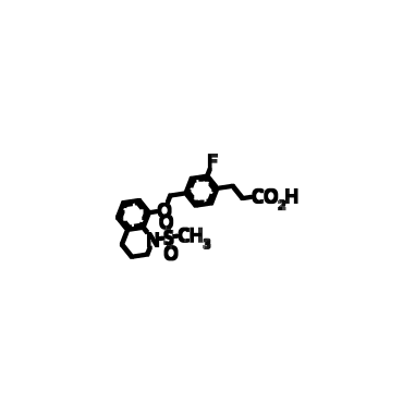 CS(=O)(=O)N1CCCc2cccc(OCc3ccc(CCC(=O)O)c(F)c3)c21